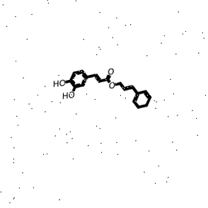 O=C(C=Cc1ccc(O)c(O)c1)OCC=CC1=CCCC=C1